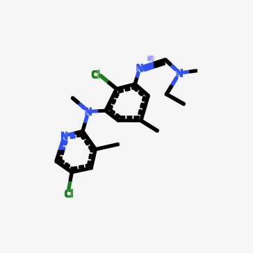 CCN(C)/C=N\c1cc(C)cc(N(C)c2ncc(Cl)cc2C)c1Cl